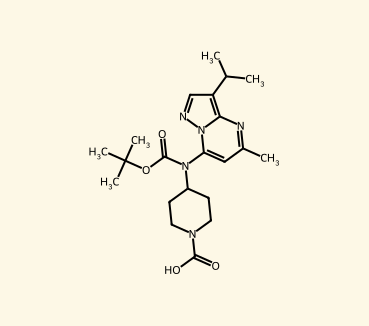 Cc1cc(N(C(=O)OC(C)(C)C)C2CCN(C(=O)O)CC2)n2ncc(C(C)C)c2n1